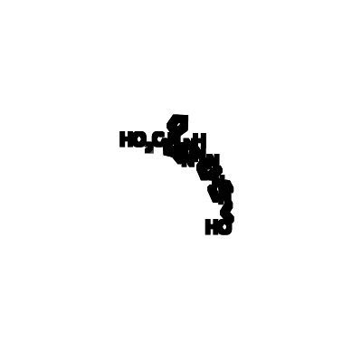 O=C(O)c1cc2cnc(Nc3ccc(N4CCN(CCCO)CC4)cn3)nc2n1C1CCCC1